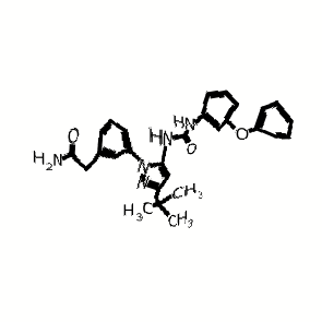 CC(C)(C)c1cc(NC(=O)Nc2cccc(Oc3ccccc3)c2)n(-c2cccc(CC(N)=O)c2)n1